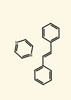 C(=Cc1ccccc1)c1ccccc1.[c]1cnccn1